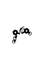 COc1ccc2c(c1)CN(Cc1ccccc1COC=O)CCS2